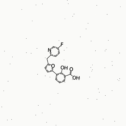 O=C(O)c1cccc(-c2ccc(Cc3ccc(F)cn3)o2)c1O